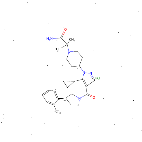 CC(C)(C(N)=O)N1CCC(n2ncc(C(=O)N3CC[C@@H](c4ccccc4C(F)(F)F)C3)c2C2CC2)CC1.Cl